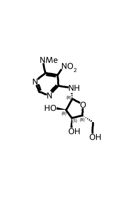 CNc1ncnc(N[C@@H]2O[C@H](CO)[C@@H](O)[C@H]2O)c1[N+](=O)[O-]